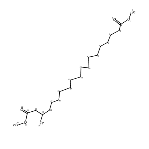 CCCOC(=O)CCCCCCCCCCCCCCCC(CC(=O)OCCC)C(C)C